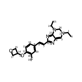 CCN1C=C2N=C(/C=C/c3ccc(OC4COC4)c(F)c3)N=C2N(CC)C1